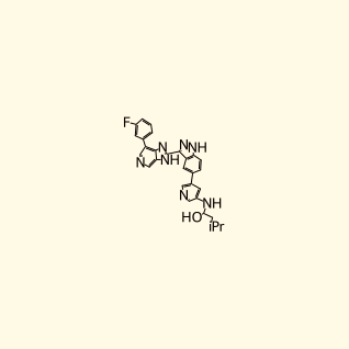 CC(C)CC(O)Nc1cncc(-c2ccc3[nH]nc(-c4nc5c(-c6cccc(F)c6)cncc5[nH]4)c3c2)c1